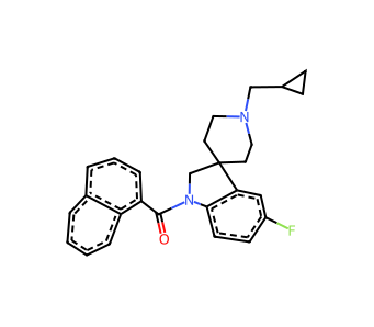 O=C(c1cccc2ccccc12)N1CC2(CCN(CC3CC3)CC2)c2cc(F)ccc21